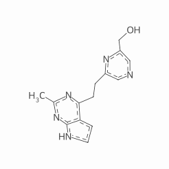 Cc1nc(CCc2cncc(CO)n2)c2cc[nH]c2n1